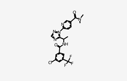 CC(NC(=O)c1cc(Cl)cc(C(F)(F)F)c1)c1ncnn1-c1ccc(C(=O)N(C)C)cn1